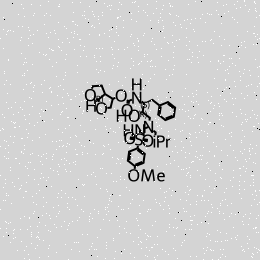 COc1ccc(S(=O)(=O)NN(CC(C)C)C[C@@H](O)[C@H](Cc2ccccc2)NC(=O)OC2CO[C@H]3OCCC23)cc1